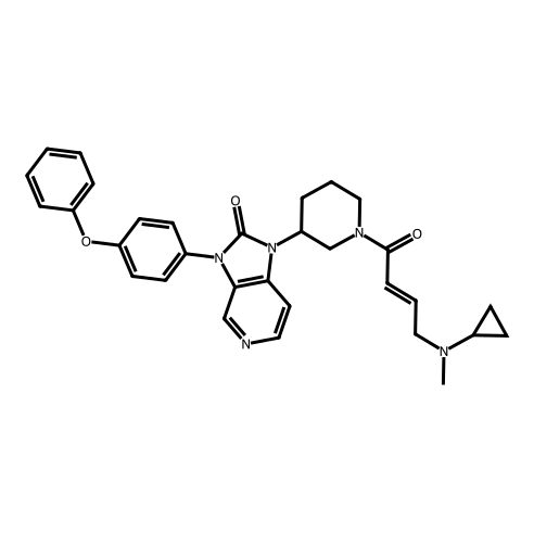 CN(CC=CC(=O)N1CCCC(n2c(=O)n(-c3ccc(Oc4ccccc4)cc3)c3cnccc32)C1)C1CC1